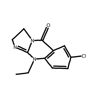 CCN1C2=NCCN2C(=O)c2cc(Cl)ccc21